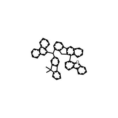 CC1(C)c2ccccc2-c2ccc(C(c3cccc4c3Cc3c-4cc4ccccc4c3-c3cccc4c3oc3ccccc34)c3cc4ccccc4c4ccccc34)cc21